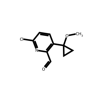 COC1(c2ccc(Cl)nc2C=O)CC1